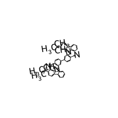 CC(C)(C)c1ccc2c3ccccc3n(-c3cc(-c4ccc(C#N)c(-n5c6ccccc6c6ccc(C(C)(C)C)cc65)c4)ccc3C#N)c2c1